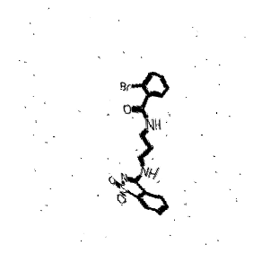 O=C(NCCCNC1=NS(=O)(=O)c2ccccc21)c1ccccc1Br